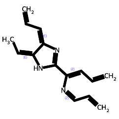 C=C/C=N\C(=C/C=C)c1nc(=C/C=C)/c(=C\C)[nH]1